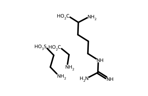 N=C(N)NCCCC(N)C(=O)O.NCC(=O)O.NCCS(=O)(=O)O